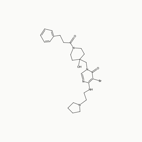 O=C(CCc1ccccc1)N1CCC(O)(Cn2cnc(NCCN3CCCC3)c(Br)c2=O)CC1